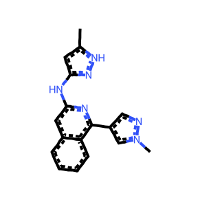 Cc1cc(Nc2cc3ccccc3c(-c3cnn(C)c3)n2)n[nH]1